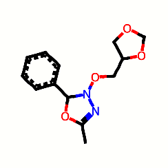 CC1=NN(OCC2COCO2)C(c2ccccc2)O1